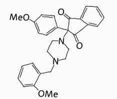 COc1ccc(C2(N3CCN(Cc4ccccc4OC)CC3)C(=O)c3ccccc3C2=O)cc1